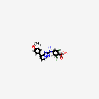 COc1ccc(-c2cccn3nc(Nc4cc(F)c(C(=O)O)c(F)c4)nc23)cc1